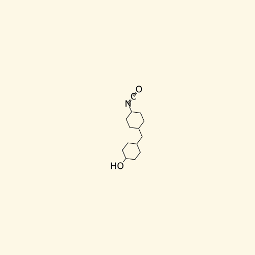 O=C=NC1CCC(CC2CCC(O)CC2)CC1